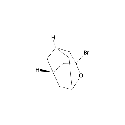 BrC12C[C@@H]3CC(C[C@@H](C3)C1)O2